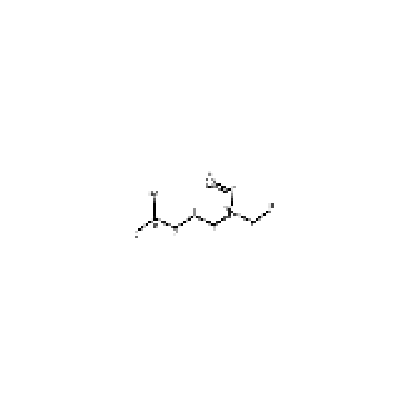 CCN([C]=O)CCCC(C)C